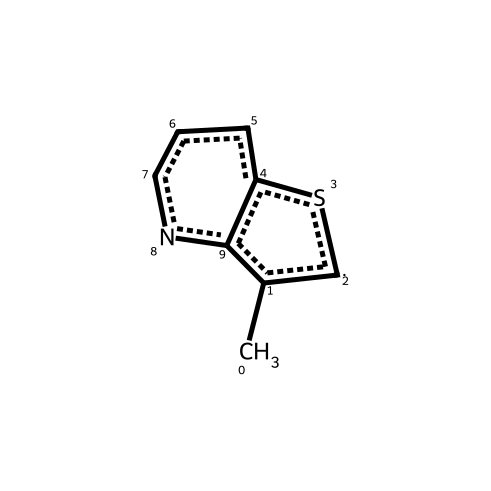 Cc1[c]sc2cccnc12